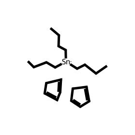 C1=CCC=C1.C1=CCC=C1.CCC[CH2][Sn]([CH2]CCC)[CH2]CCC